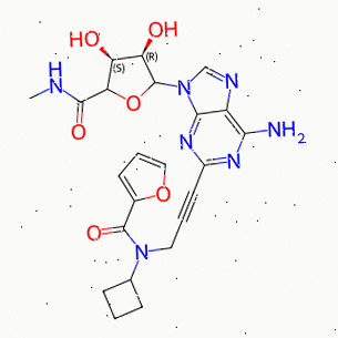 CNC(=O)C1OC(n2cnc3c(N)nc(C#CCN(C(=O)c4ccco4)C4CCC4)nc32)[C@H](O)[C@@H]1O